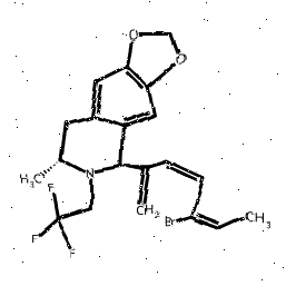 C=C(/C=C\C(Br)=C/C)[C@@H]1c2cc3c(cc2C[C@@H](C)N1CC(F)(F)F)OCO3